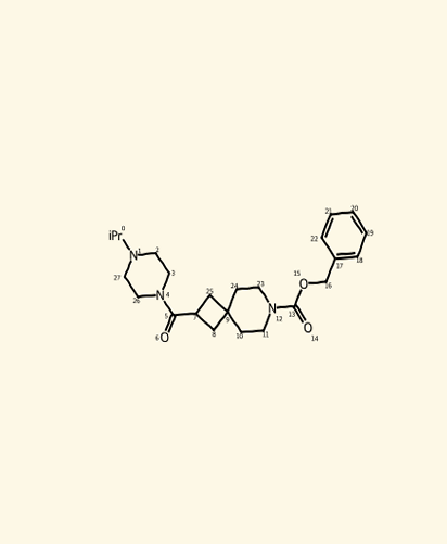 CC(C)N1CCN(C(=O)C2CC3(CCN(C(=O)OCc4ccccc4)CC3)C2)CC1